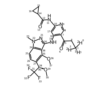 [2H]C([2H])([2H])CC(=O)c1cnc(NC(=O)C2CC2)cc1Nc1nn(C)c2ccc([C@@H](OC)C(F)(F)F)c(OC)c12